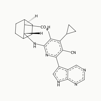 N#Cc1c(-c2c[nH]c3ncncc23)nc(N[C@@H]2C3CCC(CC3)[C@H]2C(=O)O)c(F)c1C1CC1